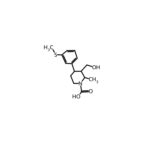 CSc1cccc(C2CCN(C(=O)O)C(C)C2CO)c1